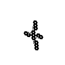 c1ccc2cc3nc(-c4ccc5c(-c6ccc7ccccc7n6)c6ccc(-c7ccc8cc9ccccc9cc8n7)cc6c(-c6ccc7ccccc7n6)c5c4)ccc3cc2c1